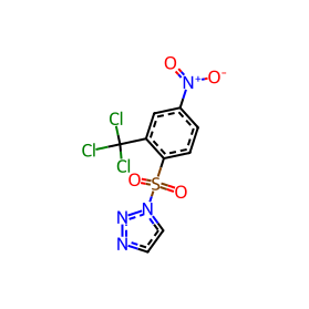 O=[N+]([O-])c1ccc(S(=O)(=O)n2ccnn2)c(C(Cl)(Cl)Cl)c1